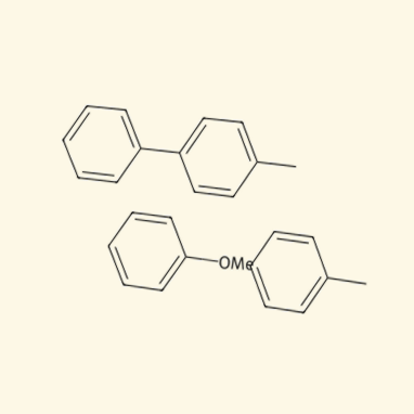 COc1ccccc1.Cc1ccc(-c2ccccc2)cc1.Cc1ccccc1